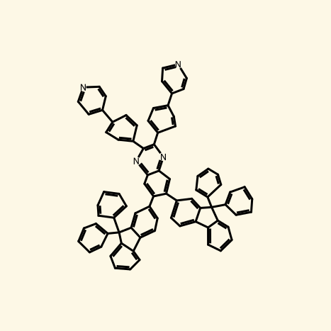 c1ccc(C2(c3ccccc3)c3ccccc3-c3ccc(-c4cc5nc(-c6ccc(-c7ccncc7)cc6)c(-c6ccc(-c7ccncc7)cc6)nc5cc4-c4ccc5c(c4)C(c4ccccc4)(c4ccccc4)c4ccccc4-5)cc32)cc1